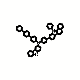 c1ccc(-c2ccc(-c3ccc(N(c4ccc(-c5ccc6c7ccc8ccccc8c7n(-c7ccccc7)c6c5)cc4)c4ccc5oc6ccccc6c5c4)cc3)cc2)cc1